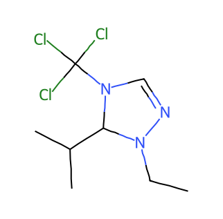 CCN1N=CN(C(Cl)(Cl)Cl)C1C(C)C